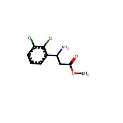 COC(=O)CC(N)c1cccc(Cl)c1Cl